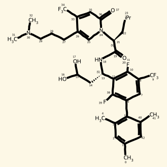 Cc1cc(C)c(-c2cc(C(F)(F)F)c(F)c([C@H](CC(O)O)NC(=O)[C@H](CC(C)C)n3cc(CCCN(C)C)c(C(F)(F)F)cc3=O)c2F)c(C)c1